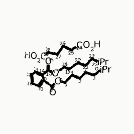 CC(C)CCCCCOC(=O)c1ccccc1C(=O)OCCCCCC(C)C.O=C(O)CCCCC(=O)O